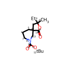 CCC1(C)CC2(CCCN(C(=O)OC(C)(C)C)C2)C(=O)O1